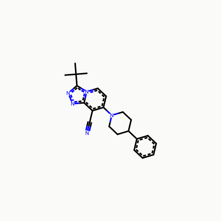 CC(C)(C)c1nnc2c(C#N)c(N3CCC(c4ccccc4)CC3)ccn12